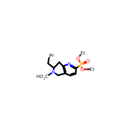 CCOP(=O)(OCC)c1ccc2c(n1)CC(CC(C)C)N(C(=O)O)C2